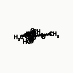 CC#CCOc1ccc(C[C@H](NC(=O)[C@@H](/C=C/CCCCCCC(=O)CCCCCCC)[C@@](O)(CCCC(=O)O)C(=O)O)C(=O)OC)cc1